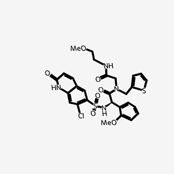 COCCNC(=O)CN(Cc1cccs1)C(=O)[C@H](NS(=O)(=O)c1cc2ccc(=O)[nH]c2cc1Cl)c1ccccc1OC